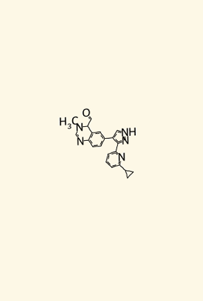 CN1C=Nc2ccc(-c3c[nH]nc3-c3cccc(C4CC4)n3)cc2C1C=O